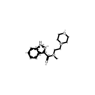 CN(CCN1CCOCC1)C(=O)c1n[nH]c2ccccc12